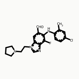 Cc1cc(Cl)ccc1Nc1c(C=O)cc2c(ncn2CCN2CCCC2)c1F